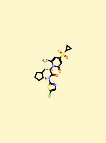 Cc1cc(S(=O)(=O)C2CC2)cc(=O)n1[C@@H](CC1CCCC1)C(=O)Nc1ncc(Cl)s1